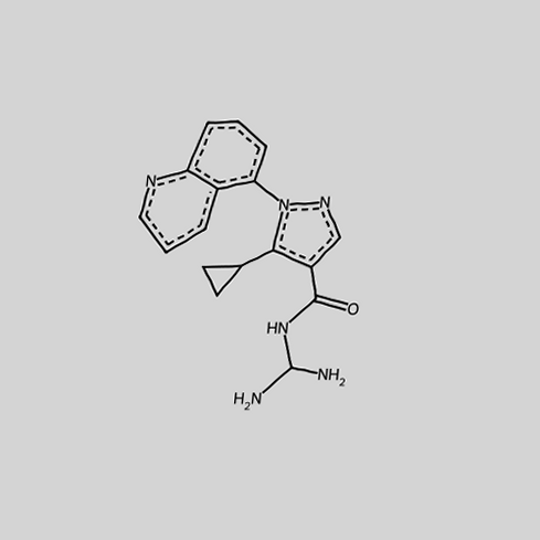 NC(N)NC(=O)c1cnn(-c2cccc3ncccc23)c1C1CC1